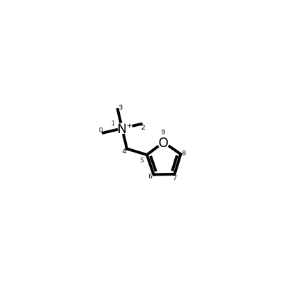 C[N+](C)(C)Cc1ccco1